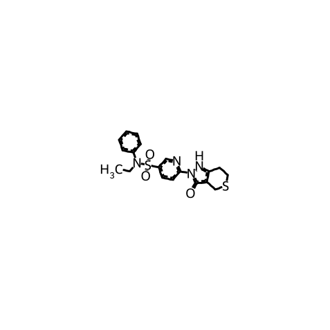 CCN(c1ccccc1)S(=O)(=O)c1ccc(-n2[nH]c3c(c2=O)CSCC3)nc1